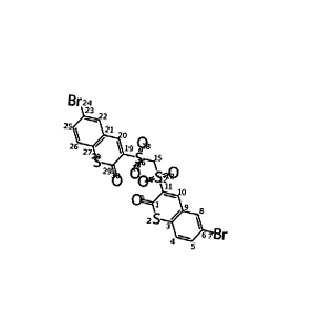 O=c1sc2ccc(Br)cc2cc1S(=O)(=O)CS(=O)(=O)c1cc2cc(Br)ccc2sc1=O